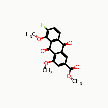 COC(=O)c1cc(OC)c2c(c1)C(=O)c1ccc(F)c(OC)c1C2=O